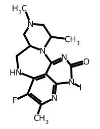 Cc1nc2c3c(nc(=O)n2I)N2C(C)CN(C)CC2CNc3c1F